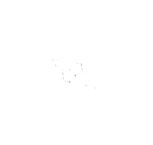 CCCP(C)OC1COC2C(OP(C)C)COC12